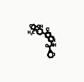 CC1(N2CCC(c3cc4cc(NC(=O)C5C6CCCOC65)ncc4cc3Cl)CC2)COCC1O